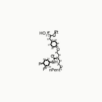 CCCCCSCCN(CCOc1ccc(CC(OCC)C(=O)O)cc1)C(=O)Nc1ccc(F)c(F)c1